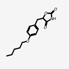 CCCCCOc1ccc(CC2OC(=O)NC2=O)cc1